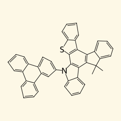 CC1(C)c2ccccc2-c2c1c1c3ccccc3n(-c3ccc4c5ccccc5c5ccccc5c4c3)c1c1sc3ccccc3c21